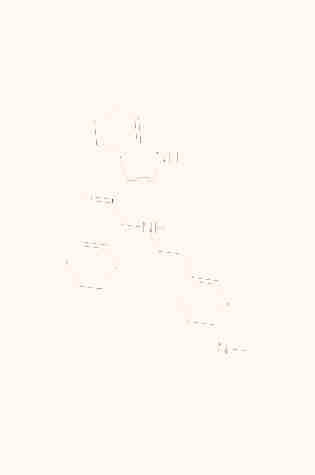 CN(C)c1ccc(CCNC(C(=O)c2c[nH]c3ccccc23)c2ccccc2)cc1